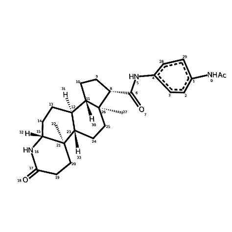 CC(=O)Nc1ccc(NC(=O)[C@H]2CC[C@H]3[C@@H]4CC[C@H]5NC(=O)CC[C@]5(C)[C@H]4CC[C@]23C)cc1